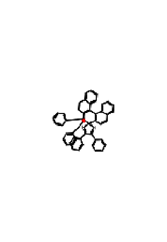 c1ccc(C2=NC3(N=C2c2ccccc2)c2ccc4ccccc4c2-c2c(ccc4ccccc24)C32N=C(c3ccccc3)C(c3ccccc3)=N2)cc1